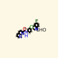 O=CN(CC[C@H]1CC[C@@H](NC(=O)c2ccc3cccnc3n2)CC1)c1ccc(F)cc1Cl